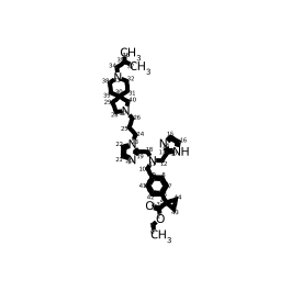 CCOC(=O)C1(c2ccc(CN(Cc3ncc[nH]3)Cc3nccn3CCCN3CCC4(CCN(CC(C)C)CC4)C3)cc2)CC1